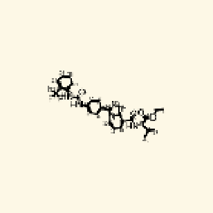 CCOC(=O)[C@@H](NC(=O)c1cccn2c(-c3ccc(NC(=O)Nc4ccccc4C(F)(F)F)cc3)nnc12)C(C)C